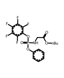 CCCCOC(=O)CNP(=O)(Oc1ccccc1)Oc1c(F)c(F)c(F)c(F)c1F